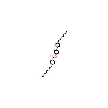 CCCCCCCC[C@H]1CC[C@H](C(=O)Oc2ccc(-c3ccc(CCCCCCC)cn3)cc2)CC1